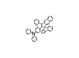 c1ccc(N(c2ccccc2)c2ccc3c4c(c5ccccc5c3c2)-c2cc3ccccc3cc2C42c3ccccc3-c3ccccc32)cc1